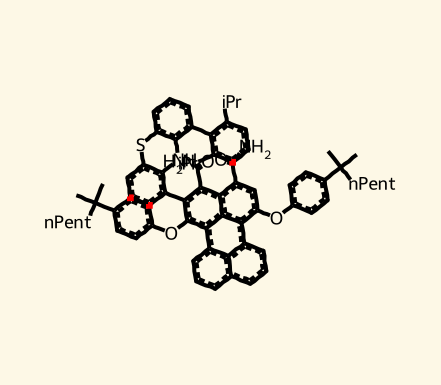 CCCCCC(C)(C)c1ccc(Oc2cc(C(N)=O)c3c(C(N)=O)c(-c4cccc5c4Nc4c(cccc4-c4c(C(C)C)cccc4C(C)C)S5)c(Oc4ccc(C(C)(C)CCCCC)cc4)c4c5cccc6cccc(c2c34)c65)cc1